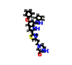 O=C1CN(CCC2CSC(c3cc4cc(Oc5ccccc5)cc(NC5CCCC5)c4[nH]3)=N2)CCN1